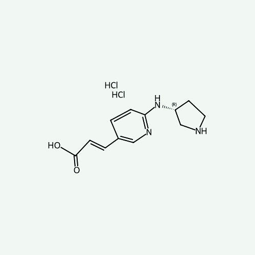 Cl.Cl.O=C(O)C=Cc1ccc(N[C@@H]2CCNC2)nc1